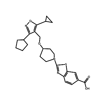 O=C(O)c1ccc2nc(N3CCC(OCc4c(C5CCCC5)noc4C4CC4)CC3)sc2c1